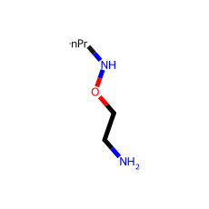 CC[CH]NOCCN